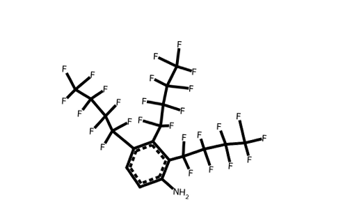 Nc1ccc(C(F)(F)C(F)(F)C(F)(F)C(F)(F)F)c(C(F)(F)C(F)(F)C(F)(F)C(F)(F)F)c1C(F)(F)C(F)(F)C(F)(F)C(F)(F)F